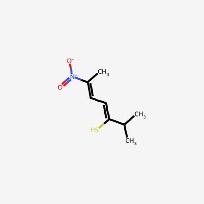 C/C(=C\C=C(/S)C(C)C)[N+](=O)[O-]